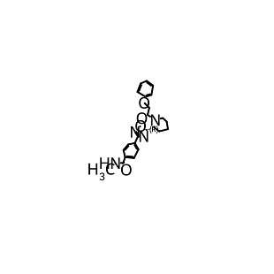 CNC(=O)c1ccc(-c2noc([C@H]3CCCCN3C(=O)COc3ccccc3)n2)cc1